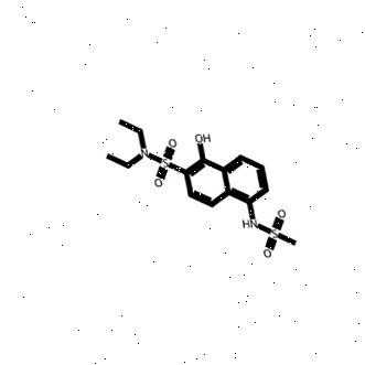 CCN(CC)S(=O)(=O)c1ccc2c(NS(C)(=O)=O)cccc2c1O